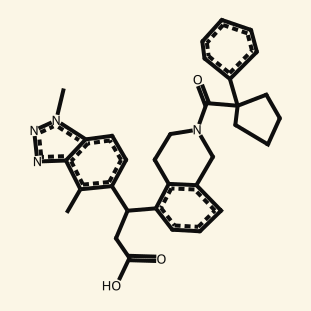 Cc1c(C(CC(=O)O)c2cccc3c2CCN(C(=O)C2(c4ccccc4)CCCC2)C3)ccc2c1nnn2C